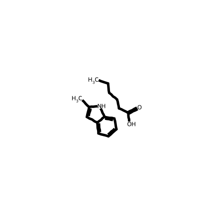 CCCCCC(=O)O.Cc1cc2ccccc2[nH]1